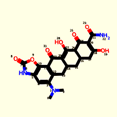 CN(C)c1cc2[nH]c(=O)oc2c2c1CC1CC3CC(O)=C(C(N)=O)C(=O)C3C(O)=C1C2=O